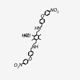 Cc1c(C)c(CCNCc2ccc(Oc3ccc([N+](=O)[O-])cc3)cc2)c(C)c(C)c1CCNCc1ccc(Oc2ccc([N+](=O)[O-])cc2)cc1.Cl.Cl